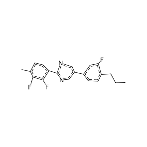 CCCc1ccc(-c2cnc(-c3ccc(C)c(F)c3F)nc2)cc1F